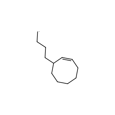 [CH2]CCCC1C=CCCCCC1